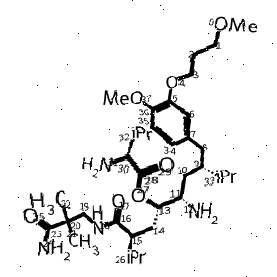 COCCCOc1cc(C[C@@H](C[C@H](N)[C@H](C[C@H](C(=O)NCC(C)(C)C(N)=O)C(C)C)OC(=O)[C@@H](N)C(C)C)C(C)C)ccc1OC